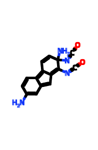 Nc1ccc2c(c1)=CC1=C(N=C=O)C(N)(N=C=O)C=CC=21